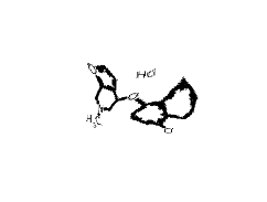 CN1Cc2occc2C(Oc2ccc(Cl)c3ccccc23)C1.Cl